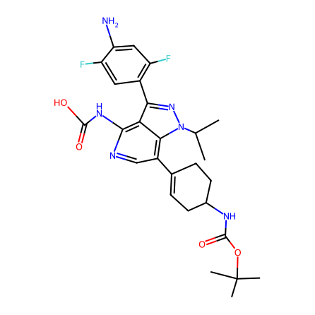 CC(C)n1nc(-c2cc(F)c(N)cc2F)c2c(NC(=O)O)ncc(C3=CCC(NC(=O)OC(C)(C)C)CC3)c21